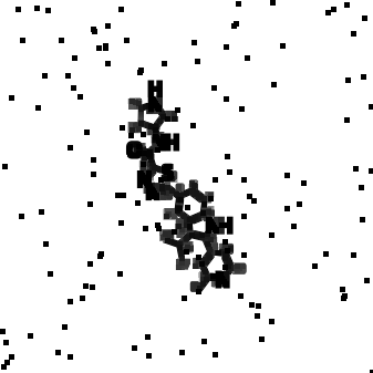 Cc1cc(-c2[nH]c3ccc(-c4nnc(C(=O)NC5CCNC5)s4)cc3c2C(C)C)ccn1